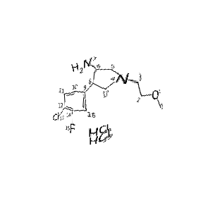 COCCN1CC(N)C(c2ccc(Cl)c(F)c2)C1.Cl.Cl